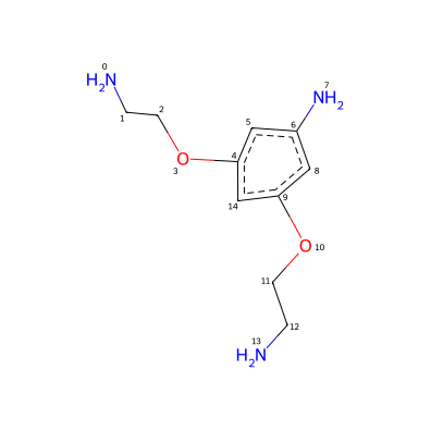 NCCOc1cc(N)cc(OCCN)c1